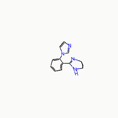 c1ccc(-n2ccnc2)c(C2=NCCN2)c1